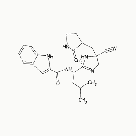 C=C1NCCC1CC1(C#N)CN=C(C(CC(C)C)NC(=O)c2cc3ccccc3[nH]2)N1